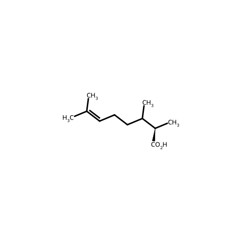 CC(C)=CCCC(C)[C@@H](C)C(=O)O